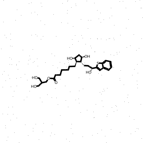 O=C(CCCCCC[C@@H]1[C@@H](CC[C@@H](O)c2cc3ccccc3s2)[C@H](O)C[C@@H]1O)OCC(CO)CO